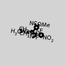 COc1ccc(-c2cn(COCC[Si](C)(C)C)c3nccc(Oc4c(F)cc([N+](=O)[O-])cc4F)c23)cc1C#N